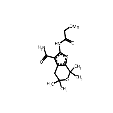 COCC(=O)Nc1sc2c(c1C(N)=O)CC(C)(C)OC2(C)C